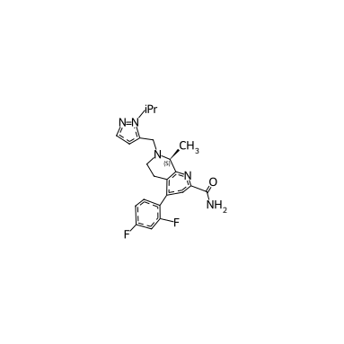 CC(C)n1nccc1CN1CCc2c(-c3ccc(F)cc3F)cc(C(N)=O)nc2[C@@H]1C